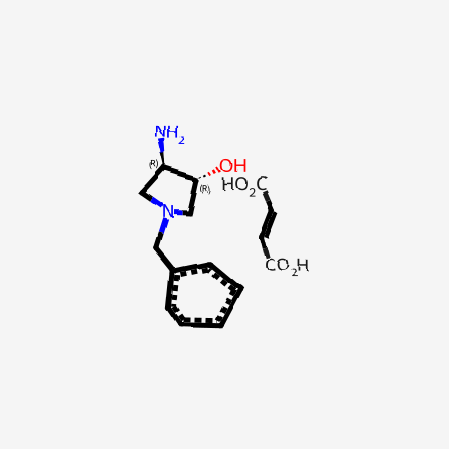 N[C@@H]1CN(Cc2ccccc2)C[C@H]1O.O=C(O)C=CC(=O)O